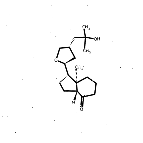 CC(C)(O)C[C@H]1CO[C@H]([C@H]2CC[C@H]3C(=O)CCC[C@]23C)C1